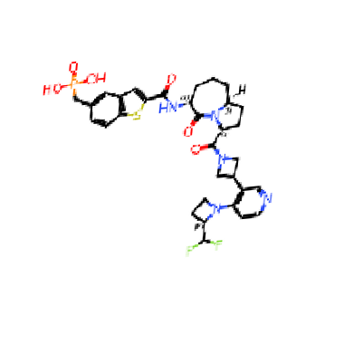 O=C(N[C@H]1CCC[C@H]2CC[C@@H](C(=O)N3CC(c4cnccc4N4CC[C@@H]4C(F)F)C3)N2C1=O)c1cc2cc(CP(=O)(O)O)ccc2s1